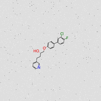 O[C@@H](CCc1cccnc1)COc1ccc(-c2ccc(F)c(Cl)c2)cc1